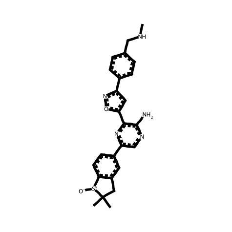 CNCc1ccc(-c2cc(-c3nc(-c4ccc5c(c4)CC(C)(C)[S+]5[O-])cnc3N)on2)cc1